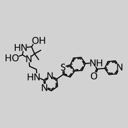 CC1(C)C(O)NC(O)N1CCNc1nccc(-c2cc3cc(NC(=O)c4ccncc4)ccc3s2)n1